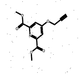 C#CCOc1cc(C(=O)OC)nc(C(=O)OC)c1